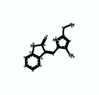 Cc1cc(CO)[nH]c1/C=C1\C(=O)Nc2ccccc21